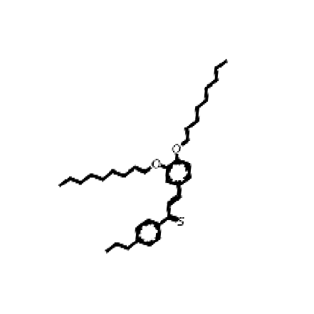 CCCCCCCCCOc1ccc(C=CC(=S)c2ccc(CCC)cc2)cc1OCCCCCCCCC